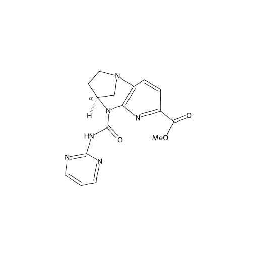 COC(=O)c1ccc2c(n1)N(C(=O)Nc1ncccn1)[C@H]1CCN2C1